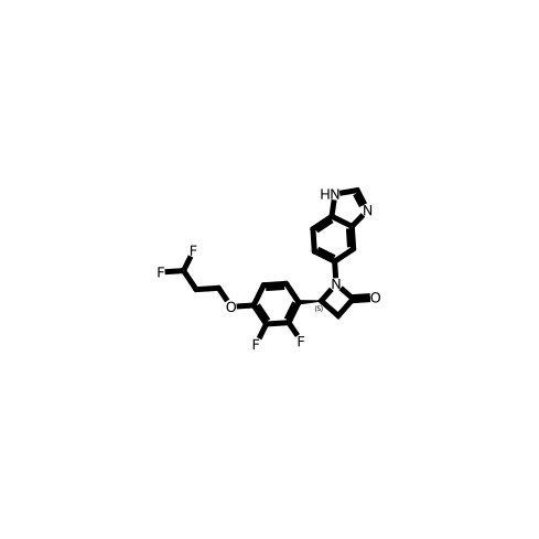 O=C1C[C@@H](c2ccc(OCCC(F)F)c(F)c2F)N1c1ccc2[nH]cnc2c1